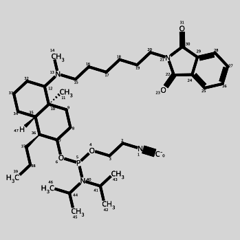 [C-]#[N+]CCOP(OC1CC[C@]2(C)C(N(C)CCCCCCN3C(=O)c4ccccc4C3=O)CCC[C@H]2[C@@H]1CCC)N(C(C)C)C(C)C